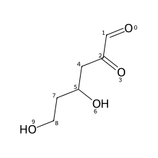 O=CC(=O)CC(O)CCO